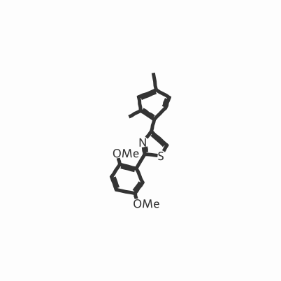 COc1ccc(OC)c(-c2nc(-c3ccc(C)cc3C)cs2)c1